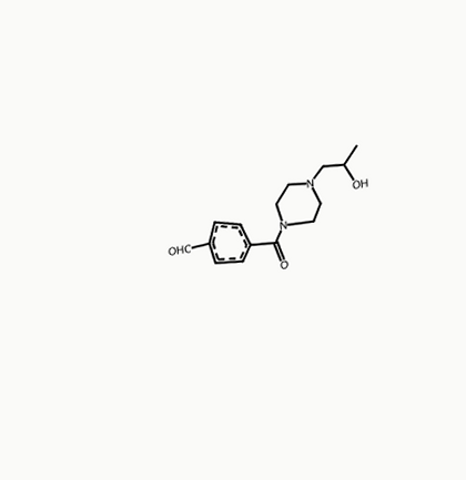 CC(O)CN1CCN(C(=O)c2ccc(C=O)cc2)CC1